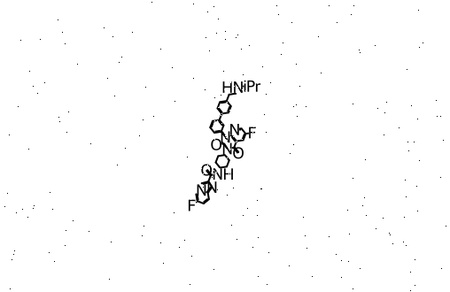 CC(C)NCCc1ccc(-c2cccc(-n3c(=O)n(C4CCC(NC(=O)c5cn6cc(F)ccc6n5)CC4)c(=O)c4cc(F)cnc43)c2)cc1